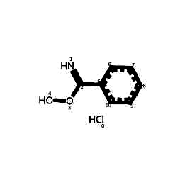 Cl.N=C(OO)c1ccccc1